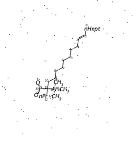 CCCCCCCC=CCCCCCCCCC(CCC)(P(=O)=O)[N+](C)(C)C